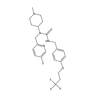 CN1CCC(N(Cc2ccc(F)cn2)C(=O)NCc2ccc(OCCC(F)(F)F)cc2)CC1